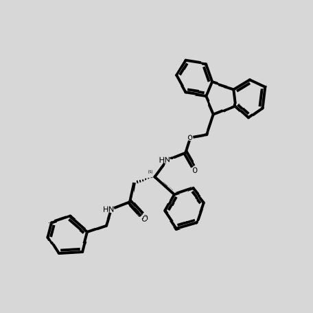 O=C(C[C@H](NC(=O)OCC1c2ccccc2-c2ccccc21)c1ccccc1)NCc1c[c]ccc1